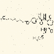 CCCCCCCCCOc1ccc(NC(=O)Nc2cc(C(=O)NCCSC)ccc2C)cc1